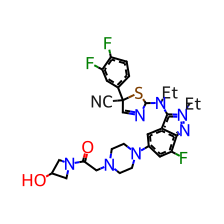 CCN(c1c2cc(N3CCN(CC(=O)N4CC(O)C4)CC3)cc(F)c2nn1CC)C1N=CC(C#N)(c2ccc(F)c(F)c2)S1